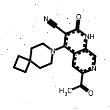 CC(=O)c1cc2c(N3CCC4(CCC4)CC3)c(C#N)c(=O)[nH]c2cn1